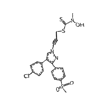 CN(O)C(=S)SCC#Cn1cc(-c2ccc(Cl)cc2)c(-c2ccc(S(C)(=O)=O)cc2)n1